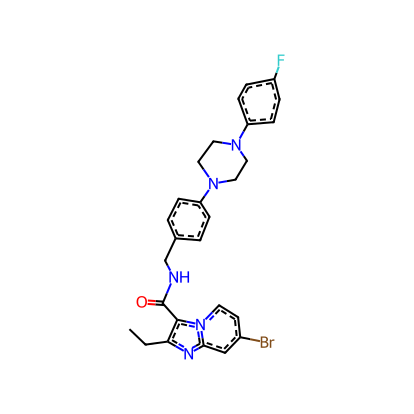 CCc1nc2cc(Br)ccn2c1C(=O)NCc1ccc(N2CCN(c3ccc(F)cc3)CC2)cc1